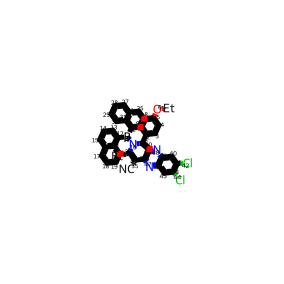 C=C(c1ccc(OCC)cc1)N(B(c1cccc2ccccc12)c1cccc2ccccc12)/C(CC)=C(/C#N)c1cnc2cc(Cl)c(Cl)cc2n1